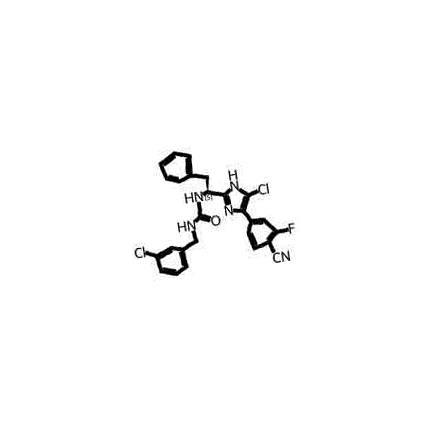 N#Cc1ccc(-c2nc([C@H](Cc3ccccc3)NC(=O)NCc3cccc(Cl)c3)[nH]c2Cl)cc1F